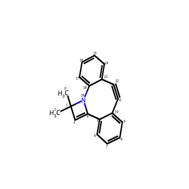 CC1(C)C=C2c3ccccc3C#Cc3ccccc3N21